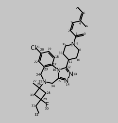 C=C(/C=C\C(C)=C/C)N1CCC(c2nnc3n2-c2ccc(Cl)cc2CN(C2(C)CC(F)(CC)C2)C3)CC1